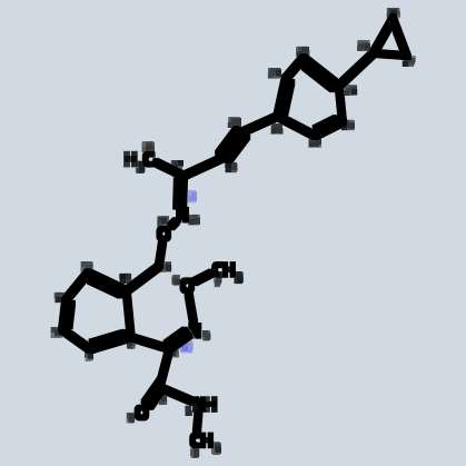 CNC(=O)/C(=N/OC)c1ccccc1CO/N=C(\C)C#Cc1ccc(C2CC2)cc1